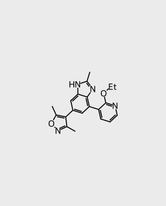 CCOc1ncccc1-c1cc(-c2c(C)noc2C)cc2[nH]c(C)nc12